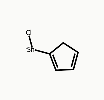 [Cl][Sn][C]1=CC=CC1